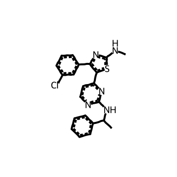 CNc1nc(-c2cccc(Cl)c2)c(-c2ccnc(NC(C)c3ccccc3)n2)s1